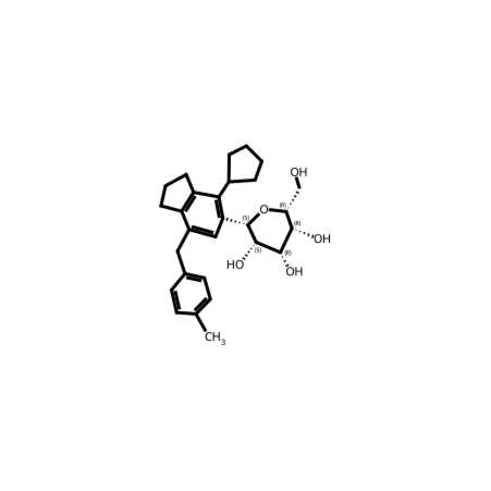 Cc1ccc(Cc2cc([C@@H]3O[C@H](CO)[C@H](O)[C@H](O)[C@@H]3O)c(C3CCCC3)c3c2CCC3)cc1